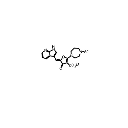 CCOC(=O)C1=C(N2CCCN(C(C)=O)CC2)OC(=Cc2c[nH]c3ncccc23)C1=O